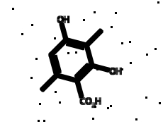 Cc1cc(O)c(C)c(O)c1[13C](=O)O